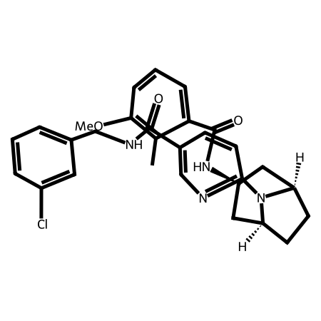 COc1cccc(C(=O)N[C@H]2C[C@H]3CC[C@@H](C2)N3c2ccc(C(=O)NCc3cccc(Cl)c3)cn2)c1C